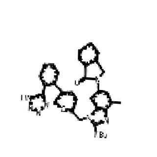 CCCCc1nc2c(C)cc(N3Cc4ccccc4C3=O)cc2n1Cc1ccc(-c2ccccc2-c2nnn[nH]2)cc1